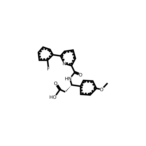 COc1ccc([C@H](CC(=O)O)NC(=O)c2cccc(-c3ccccc3F)n2)cc1